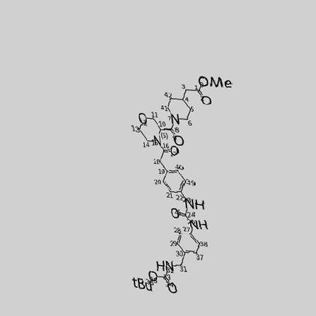 COC(=O)CC1CCN(C(=O)[C@@H]2COCCN2C(=O)Cc2ccc(NC(=O)Nc3ccc(CNC(=O)OC(C)(C)C)cc3)cc2)CC1